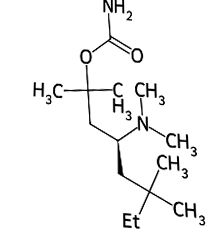 CCC(C)(C)C[C@@H](CC(C)(C)OC(N)=O)N(C)C